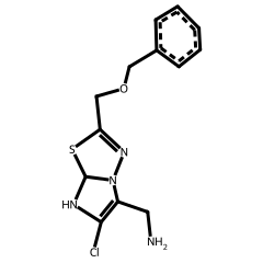 NCC1=C(Cl)NC2SC(COCc3ccccc3)=NN12